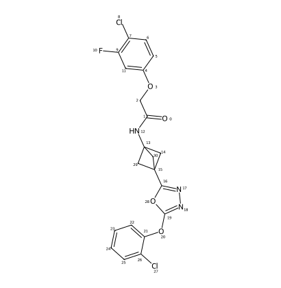 O=C(COc1ccc(Cl)c(F)c1)NC12CC(c3nnc(Oc4ccccc4Cl)o3)(C1)C2